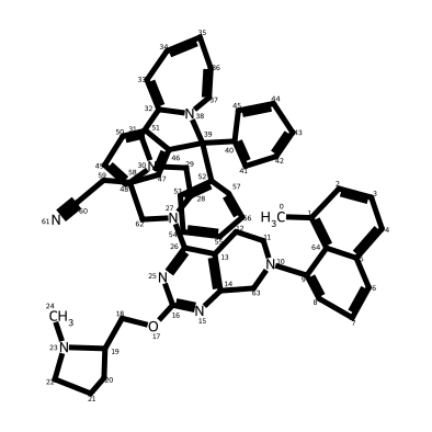 Cc1cccc2cccc(N3CCc4c(nc(OCC5CCCN5C)nc4N4CCN(CC5=CC=CC=CN5C(c5ccccc5)(c5ccccc5)c5ccccc5)C(CC#N)C4)C3)c12